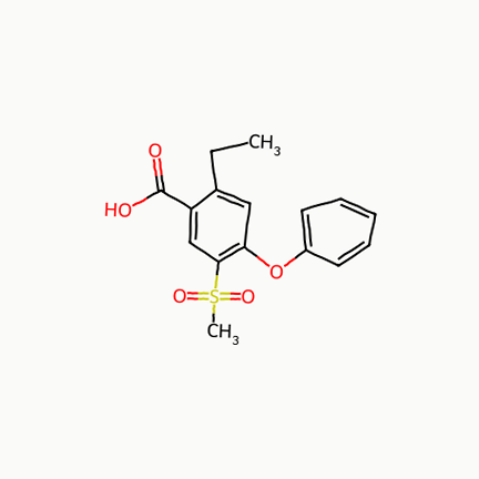 CCc1cc(Oc2ccccc2)c(S(C)(=O)=O)cc1C(=O)O